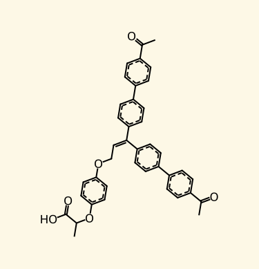 CC(=O)c1ccc(-c2ccc(C(=CCOc3ccc(OC(C)C(=O)O)cc3)c3ccc(-c4ccc(C(C)=O)cc4)cc3)cc2)cc1